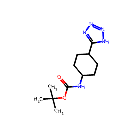 CC(C)(C)OC(=O)NC1CCC(c2nnn[nH]2)CC1